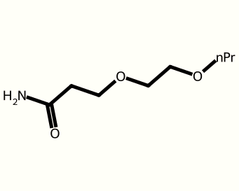 CCCOCCOCCC(N)=O